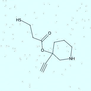 C#CC1(OC(=O)CCS)CCCNC1